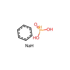 O=[PH](O)O.[NaH].c1ccccc1